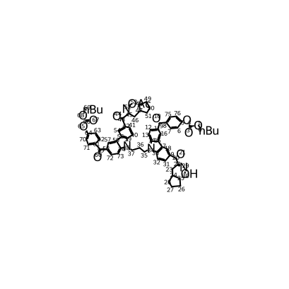 CCCCOC(=O)Oc1ccc(C(=O)c2ccc3c(c2)c2cc(C(=O)/C(CC4CCCC4)=N/O)ccc2n3CCCn2c3ccc(C(=O)/C(CC4CCCC4)=N/OC(C)=O)cc3c3cc(C(=O)c4ccc(OC(=O)OCCCC)cc4)ccc32)cc1